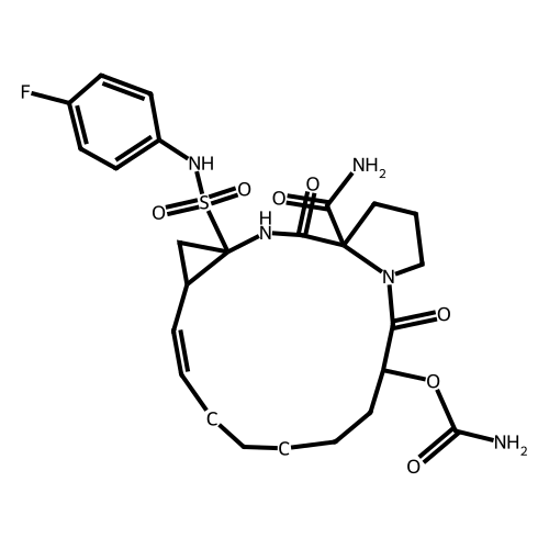 NC(=O)OC1CCCCCC=CC2CC2(S(=O)(=O)Nc2ccc(F)cc2)NC(=O)C2(C(N)=O)CCCN2C1=O